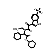 CS(=O)(=O)c1ccc2c(C(=O)C(=O)N(CC(=O)O)C(C(=O)NC3CCCCC3)C3CCCCC3)c[nH]c2c1